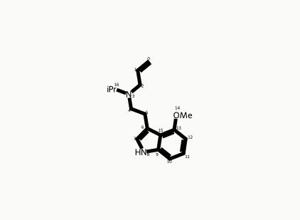 C=CCN(CCc1c[nH]c2cccc(OC)c12)C(C)C